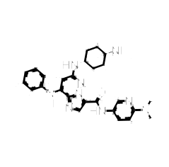 CN(C)c1ccc(NC(=O)c2cnc3c(Nc4ccccc4)cc(N[C@H]4CC[C@H](N)CC4)nn23)cn1